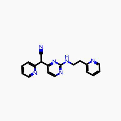 N#CC(c1ccccn1)c1ccnc(NCCc2ccccn2)n1